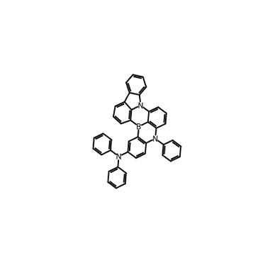 c1ccc(N(c2ccccc2)c2ccc3c(c2)B2c4c(cccc4-n4c5ccccc5c5cccc2c54)N3c2ccccc2)cc1